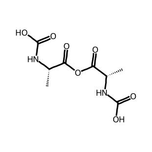 C[C@H](NC(=O)O)C(=O)OC(=O)[C@H](C)NC(=O)O